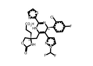 O=C(O)CC[C@]1(CC2=C(c3ccn(C(F)F)n3)[C@H](c3ccc(F)cc3Cl)N=C(c3nccs3)N2)COC(=O)N1